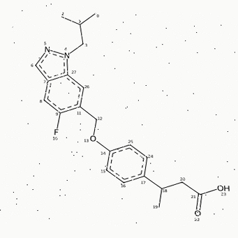 CC(C)Cn1ncc2cc(F)c(COc3ccc(C(C)CC(=O)O)cc3)cc21